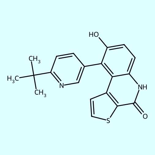 CC(C)(C)c1ccc(-c2c(O)ccc3[nH]c(=O)c4sccc4c23)cn1